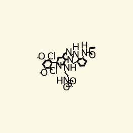 C=CC(=O)Nc1cccc(C)c1Nc1ncc2cc(-c3c(Cl)c(OC)cc(OC)c3Cl)nc(NCCNS(C)(=O)=O)c2n1